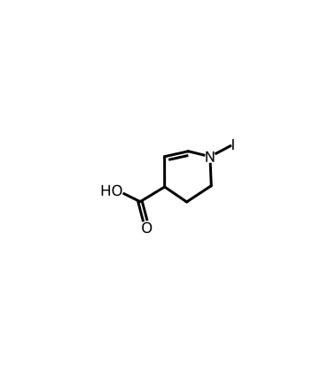 O=C(O)C1C=CN(I)CC1